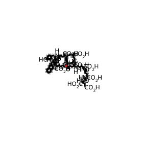 O=C(O)CC[C@H](NC(=O)N[C@@H](CCC(=O)NC(CCCNC(=O)CCC(=O)NCCCC[C@@H](NC(=O)[C@@H](Cc1ccc2ccccc2c1)NC(=O)[C@@H](Cc1ccc(O)cc1)NC(=O)CCC(C(=O)O)N1CCN(CC(=O)O)CCN(CC(=O)O)CCN(CC(=O)O)CC1)C(=O)O)C(=O)O)C(=O)O)C(=O)O